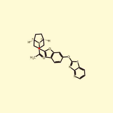 CC(=O)N1C[C@H]2CC[C@@H](C1)N2Cc1cc2ccc(Oc3nc4ncccc4s3)cc2o1